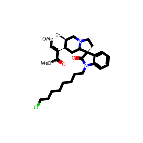 CC[C@H]1CN2CC[C@]3(C(=O)N(CCCCCCCCCl)c4ccccc43)C2C[C@@H]1/C(=C\OC)C(=O)OC